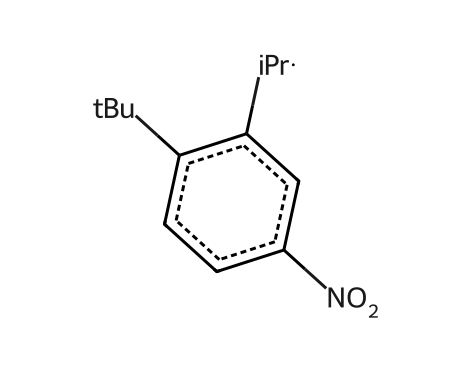 C[C](C)c1cc([N+](=O)[O-])ccc1C(C)(C)C